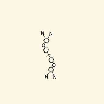 CC(C)(c1ccc(Oc2ccc(C#N)c(C#N)c2)cc1)c1ccc(Oc2ccc(C#N)c(C#N)c2)cc1